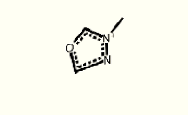 C[n+]1cocn1